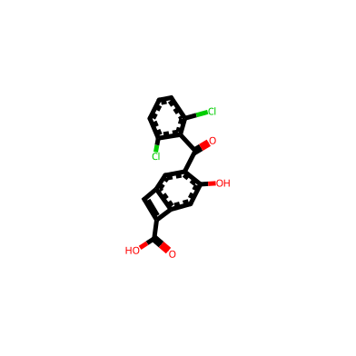 O=C(O)C1=Cc2cc(C(=O)c3c(Cl)cccc3Cl)c(O)cc21